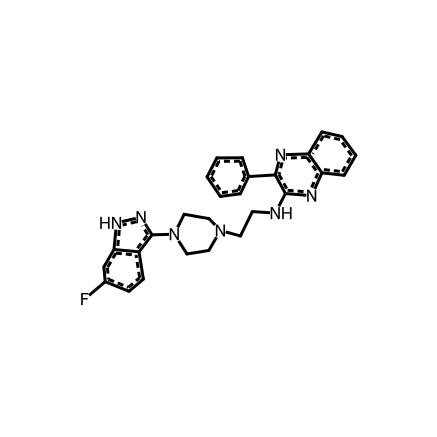 Fc1ccc2c(N3CCN(CCNc4nc5ccccc5nc4-c4ccccc4)CC3)n[nH]c2c1